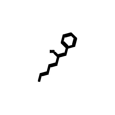 CC=CC=CC(O)=Cc1ccccc1